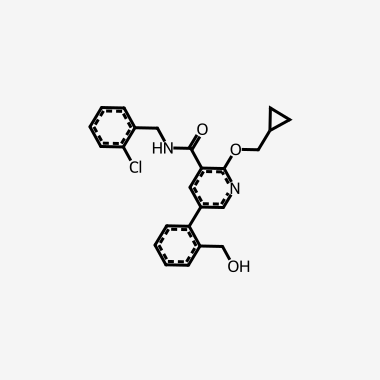 O=C(NCc1ccccc1Cl)c1cc(-c2ccccc2CO)cnc1OCC1CC1